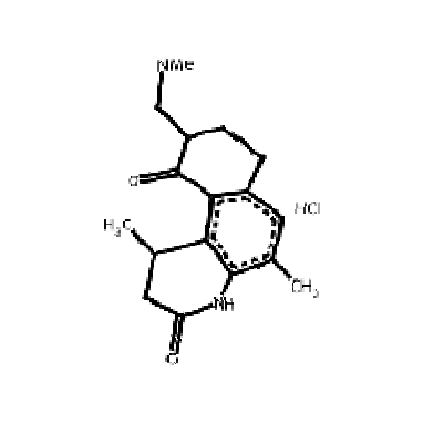 CNCC1CCc2cc(C)c3c(c2C1=O)C(C)CC(=O)N3.Cl